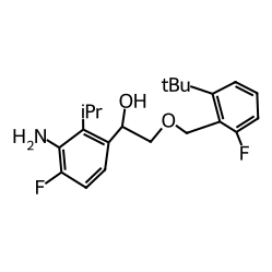 CC(C)c1c(C(O)COCc2c(F)cccc2C(C)(C)C)ccc(F)c1N